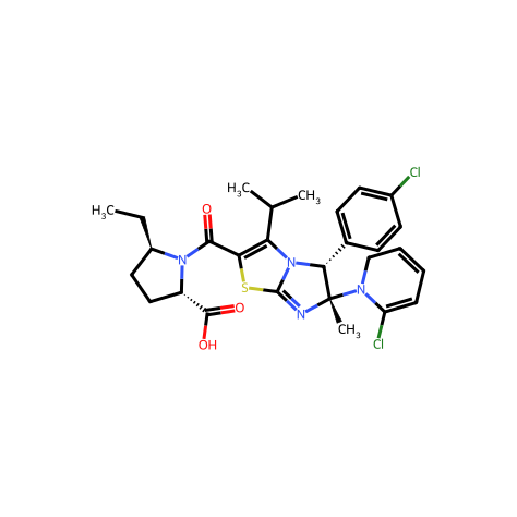 CC[C@@H]1CC[C@@H](C(=O)O)N1C(=O)C1=C(C(C)C)N2C(=N[C@@](C)(N3CC=CC=C3Cl)[C@H]2c2ccc(Cl)cc2)S1